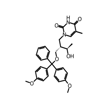 COc1ccc(C(OC[C@H](Cn2cc(C)c(=O)[nH]c2=O)[C@@H](C)O)(c2ccccc2)c2ccc(OC)cc2)cc1